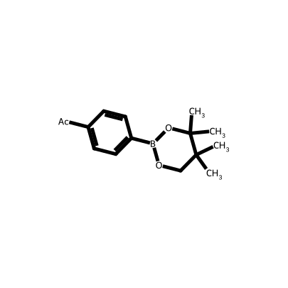 CC(=O)c1ccc(B2OCC(C)(C)C(C)(C)O2)cc1